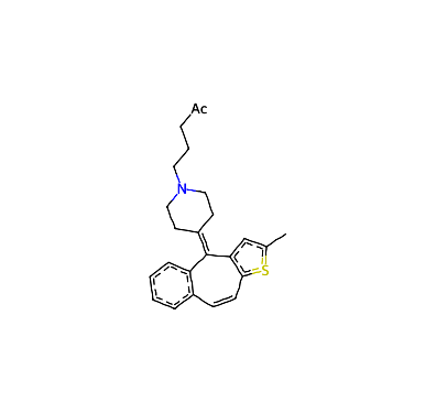 CC(=O)CCCN1CCC(=C2c3ccccc3C=Cc3sc(C)cc32)CC1